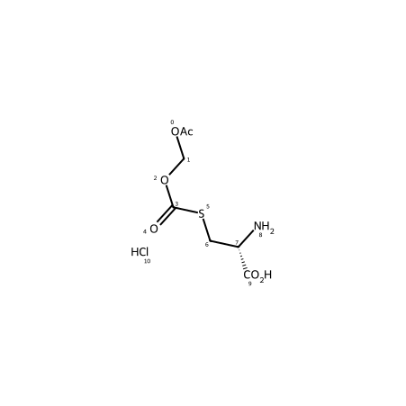 CC(=O)OCOC(=O)SC[C@H](N)C(=O)O.Cl